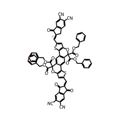 N#Cc1cc2c(cc1C#N)C(=O)/C(=C/c1cc3c(s1)-c1cc4c(cc1C(C(=O)OCc1ccccc1)(C(=O)OCc1ccccc1)O3)-c1sc(C=C3C(=O)c5cc(C#N)c(C#N)cc5C3=O)cc1OC4(C(=O)OCc1ccccc1)C(=O)OCc1ccccc1)C2